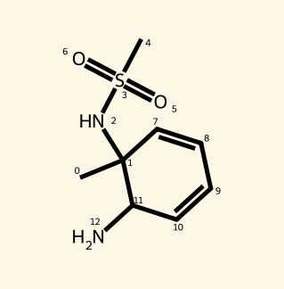 CC1(NS(C)(=O)=O)C=CC=CC1N